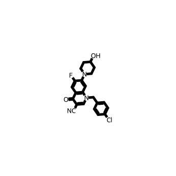 N#Cc1cn(Cc2ccc(Cl)cc2)c2cc(N3CCC(O)CC3)c(F)cc2c1=O